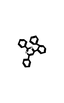 c1ccc(-c2cc(-c3ccccc3-c3ccccc3)nc(-c3ccccc3)n2)cc1